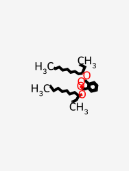 CCCCCCCCC(CCC)OC(=O)c1ccccc1C(=O)OC(CCC)CCCCCCCC